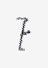 CCCC/C=C/C=C/CCCCCCCCOC(COCCCCCCCC/C=C\C/C=C\CCCCC)CSSCCN(C)C